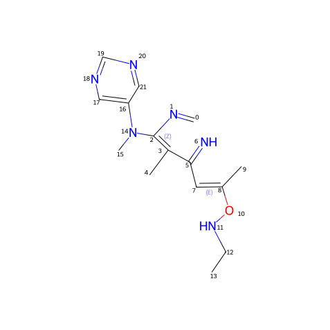 C=N/C(=C(/C)C(=N)/C=C(\C)ONCC)N(C)c1cncnc1